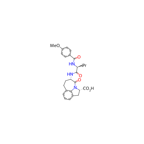 COc1ccc(C(=O)N[C@H](C(=O)N[C@H]2CCc3cccc4c3N(C2=O)[C@H](C(=O)O)C4)C(C)C)cc1